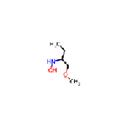 CCC(COC)NO